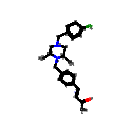 COC(=O)/C=C/c1ccc(CN2[C@H](C)CN(Cc3ccc(Br)cc3)C[C@@H]2C)cc1